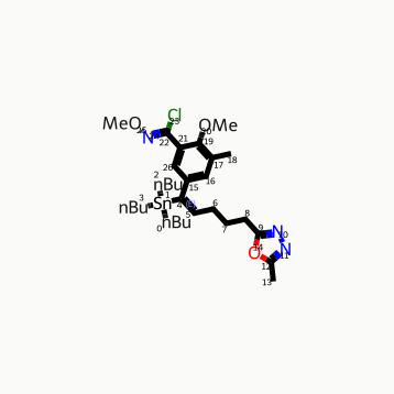 CCC[CH2][Sn]([CH2]CCC)([CH2]CCC)/[C](=C/CCCc1nnc(C)o1)c1cc(C)c(OC)c(C(Cl)=NOC)c1